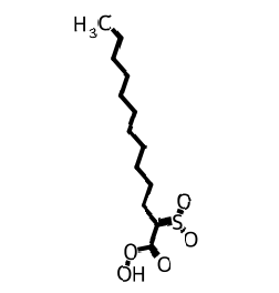 CCCCCCCCCCCC(C(=O)OO)=S(=O)=O